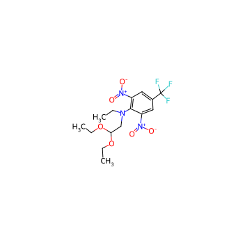 CCOC(CN(CC)c1c([N+](=O)[O-])cc(C(F)(F)F)cc1[N+](=O)[O-])OCC